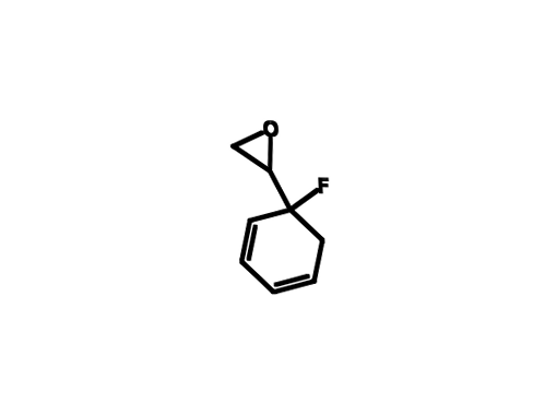 FC1(C2CO2)C=CC=CC1